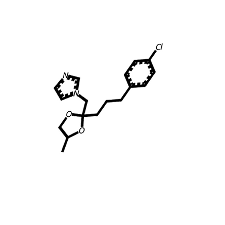 CC1COC(CCCc2ccc(Cl)cc2)(Cn2ccnc2)O1